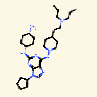 CCCN(CCC)CCC1CCN(Nc2nc(N[C@H]3CC[C@H](N)CC3)nc3c2ncn3C2CCCC2)CC1